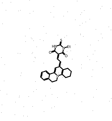 CCN1C(=O)C(=CC=C2C=C3c4ccccc4CCN3C3=C2CCCC3)C(=O)NC1=S